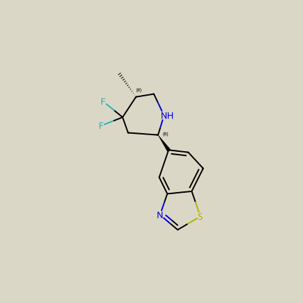 C[C@@H]1CN[C@@H](c2ccc3scnc3c2)CC1(F)F